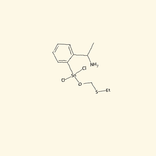 CCSC[O][Sn]([Cl])([Cl])[c]1ccccc1C(C)N